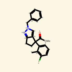 COC(=O)C1(c2cccc(F)c2C)CCc2nn(Cc3ccccc3)cc21